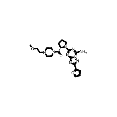 COCCN1CCN(C(=O)[C@@H]2CCCN2c2nc(N)n3nc(-c4ccco4)nc3n2)CC1